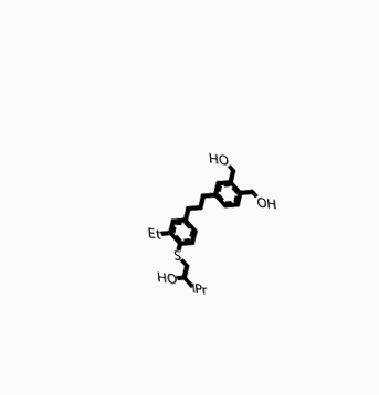 CCc1cc(CCCc2ccc(CO)c(CO)c2)ccc1SCC(O)C(C)C